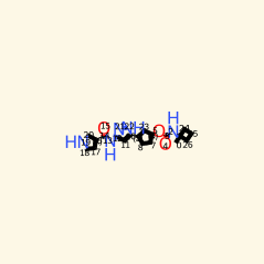 CC1(NC(=O)O[C@@H]2CC[C@H](c3cc(NC(=O)[C@@H]4CCNC4)n[nH]3)C2)CCC1